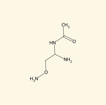 CC(=O)NC(N)CON